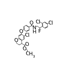 CCOC(=O)C1CCOc2cc(Oc3ccc(C(=O)NCC(F)c4ccc(Cl)cc4Cl)cc3)c(Cl)cc21